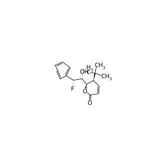 CC(C)(C)[C@H]1C=CC(=O)O[C@H]1[C@@H](O)[C@H](F)c1ccccc1